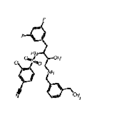 CCc1cccc(CNCC(O)C(Cc2cc(F)cc(F)c2)NS(=O)(=O)c2ccc(C#N)cc2Cl)c1